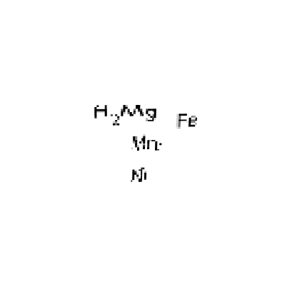 [Fe].[MgH2].[Mn].[Ni]